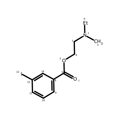 CCN(C)CCOC(=O)c1cccc(I)c1